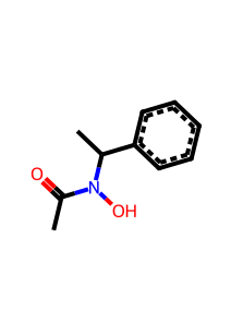 CC(=O)N(O)C(C)c1ccccc1